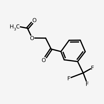 CC(=O)OCC(=O)c1cccc(C(F)(F)F)c1